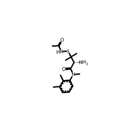 CC(=O)NSC(C)(C)[C@H](N)C(=O)N(C)c1cccc(C)c1C